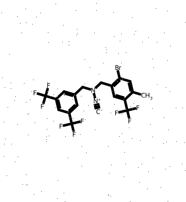 [C-]#[N+]N(Cc1cc(C(F)(F)F)cc(C(F)(F)F)c1)Cc1cc(C(F)(F)F)c(C)cc1Br